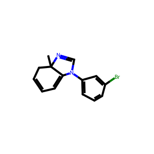 CC12CC=CC=C1N(c1cccc(Br)c1)C=N2